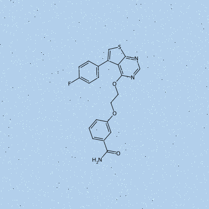 NC(=O)c1cccc(OCCOc2ncnc3scc(-c4ccc(F)cc4)c23)c1